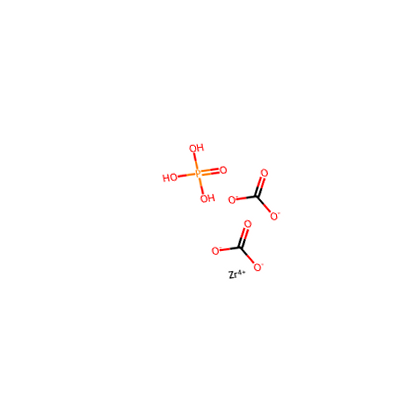 O=C([O-])[O-].O=C([O-])[O-].O=P(O)(O)O.[Zr+4]